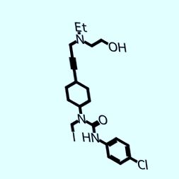 CCN(CC#CC1CCC(N(CI)C(=O)Nc2ccc(Cl)cc2)CC1)CCO